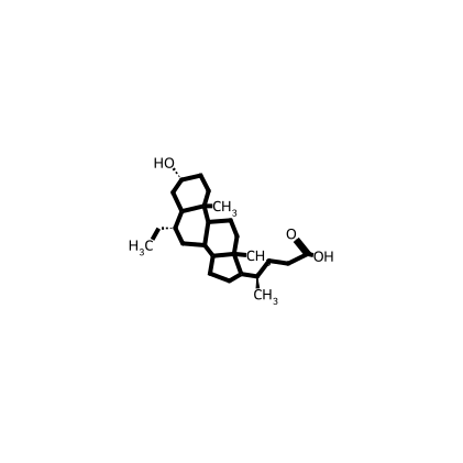 CC[C@H]1CC2C(CCC3(C)C2CCC3[C@H](C)CCC(=O)O)C2(C)CC[C@@H](O)CC12